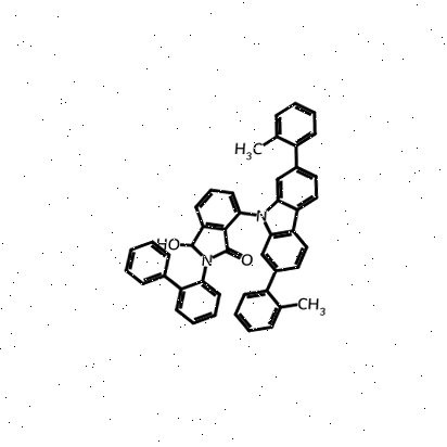 Cc1ccccc1-c1ccc2c3ccc(-c4ccccc4C)cc3n(-c3cccc4c3C(=O)N(c3ccccc3-c3ccccc3)C4O)c2c1